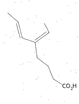 CC=CC(=CC)CCCC(=O)O